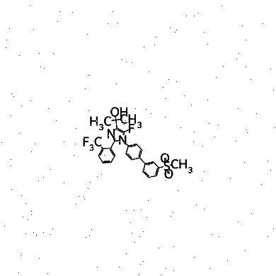 CC(C)(O)c1nc(-c2ccccc2C(F)(F)F)n(-c2ccc(-c3cccc(S(C)(=O)=O)c3)cc2)c1F